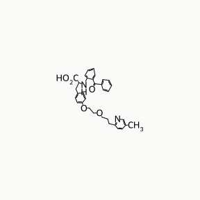 Cc1ccc(CCCOCCOc2ccc(CC(Nc3ccccc3C(=O)c3ccccc3)C(=O)O)cc2)nc1